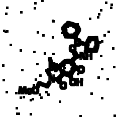 COCCN1CN(C)n2cc(C(=O)Nc3ccccc3Oc3ccccc3)c(=O)c(O)c2C1=O